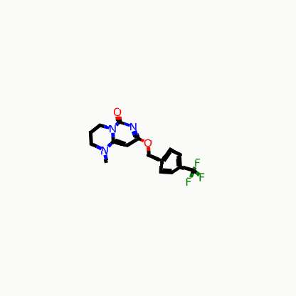 CN1CCCn2c1cc(OCc1ccc(C(F)(F)F)cc1)nc2=O